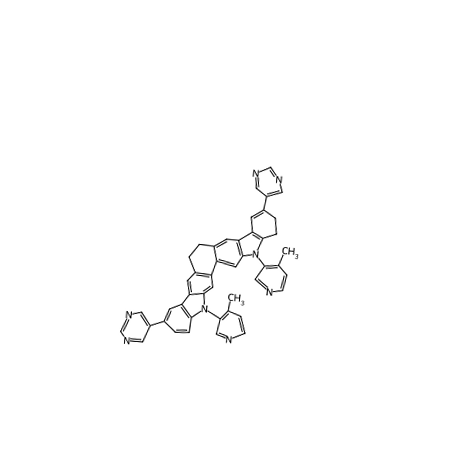 Cc1ccncc1-n1c2c(c3cc4c(cc31)-c1cc3c(cc1CC4)c1cc(-c4cncnc4)ccc1n3-c1cnccc1C)C=C(c1cncnc1)CC2